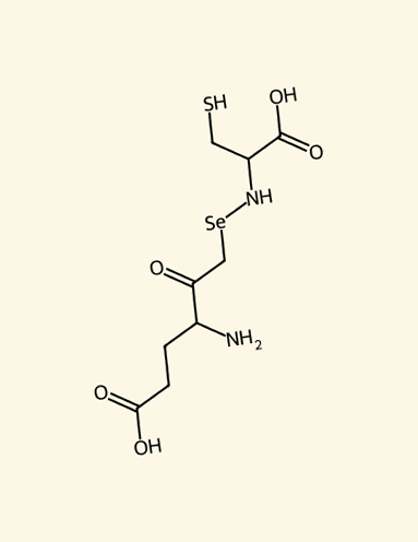 NC(CCC(=O)O)C(=O)C[Se]NC(CS)C(=O)O